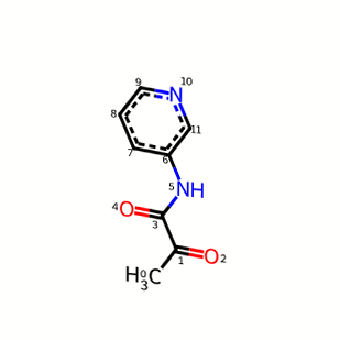 CC(=O)C(=O)Nc1cccnc1